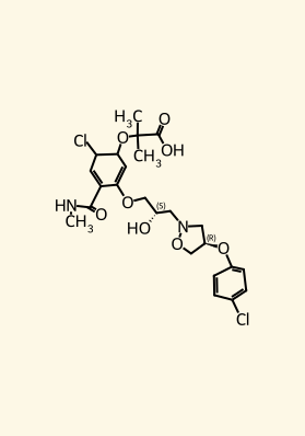 CNC(=O)C1=CC(Cl)C(OC(C)(C)C(=O)O)C=C1OC[C@@H](O)CN1C[C@@H](Oc2ccc(Cl)cc2)CO1